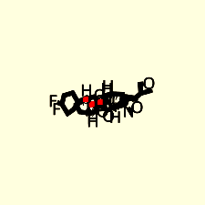 O=C(NC1C[C@H]2CC[C@@H](C1)N2S(=O)(=O)N1[C@@H]2CC[C@H]1CC(NCC1CCC(F)(F)CC1)C2)c1cc(C2COC2)on1